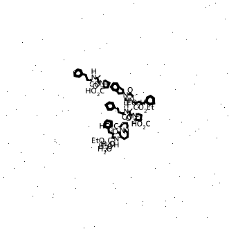 CCOC(=O)[C@H](CCc1ccccc1)N[C@@H](C)C(=O)N(CC(=O)O)C1Cc2ccccc2C1.CCOC(=O)[C@H](CCc1ccccc1)N[C@@H](C)C(=O)N1CCC[C@H]1C(=O)O.CCOC(=O)[C@H](CCc1ccccc1)N[C@H]1CCCN2CCC[C@@H](C(=O)O)N2C1=O.C[C@H](N[C@@H](CCc1ccccc1)C(=O)O)C(=O)N1CCC[C@H]1C(=O)O.O.O.O